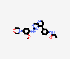 C=CC(=O)Nc1cccc(-c2ccnc3cnc(Nc4ccc(N5CCOCC5)cc4OC)nc23)c1